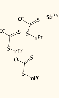 CCCSC([O-])=S.CCCSC([O-])=S.CCCSC([O-])=S.[Sb+3]